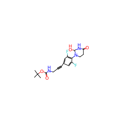 CC(C)(C)OC(=O)NCC#Cc1cc(F)c(N2CCC(=O)NC2O)c(F)c1